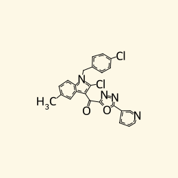 Cc1ccc2c(c1)c(C(=O)c1nnc(-c3cccnc3)o1)c(Cl)n2Cc1ccc(Cl)cc1